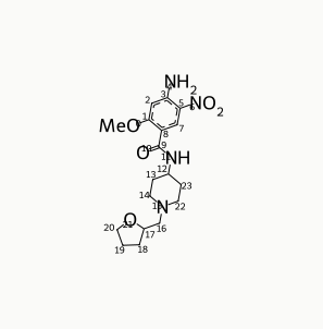 COc1cc(N)c([N+](=O)[O-])cc1C(=O)NC1CCN(CC2CCCO2)CC1